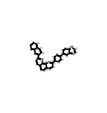 c1ccc2cc(-c3ccc4ccc5ccc(-c6ccc(-c7ccc8nccnc8c7)cc6)nc5c4n3)ccc2c1